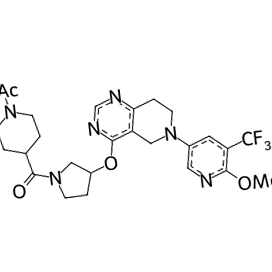 COc1ncc(N2CCc3ncnc(OC4CCN(C(=O)C5CCN(C(C)=O)CC5)C4)c3C2)cc1C(F)(F)F